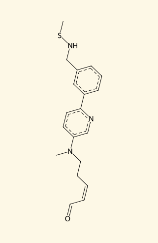 CSNCc1cccc(-c2ccc(N(C)CC/C=C\C=O)cn2)c1